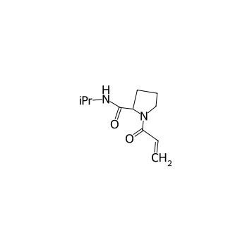 C=CC(=O)N1CCCC1C(=O)NC(C)C